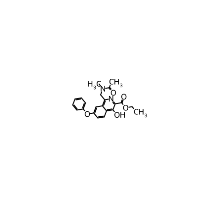 CCOC(=O)c1nc(CN(C)C(C)=O)c2cc(Oc3ccccc3)ccc2c1O